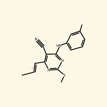 CSc1nc(/C=C/I)c(C#N)c(Nc2cccc(C)c2)n1